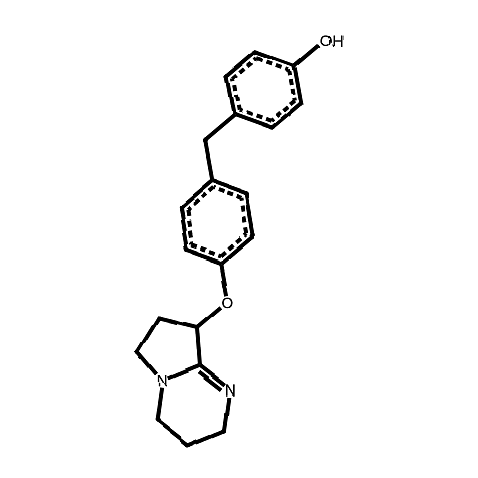 Oc1ccc(Cc2ccc(OC3CCN4CCCN=C34)cc2)cc1